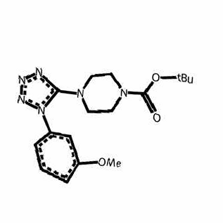 COc1cccc(-n2nnnc2N2CCN(C(=O)OC(C)(C)C)CC2)c1